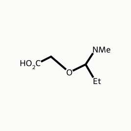 CCC(NC)OCC(=O)O